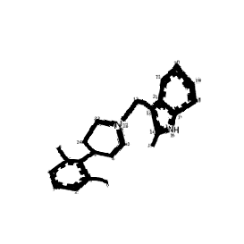 Cc1cccc(C)c1C1CCN(Cc2c(C)[nH]c3ccccc23)CC1